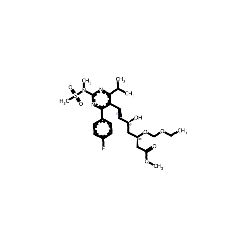 CCOCO[C@@H](CC(=O)OC)C[C@H](O)/C=C/c1c(-c2ccc(F)cc2)nc(N(C)S(C)(=O)=O)nc1C(C)C